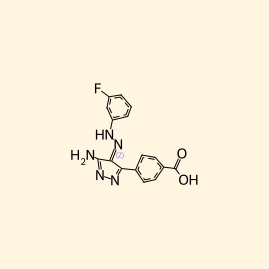 NC1=NN=C(c2ccc(C(=O)O)cc2)/C1=N/Nc1cccc(F)c1